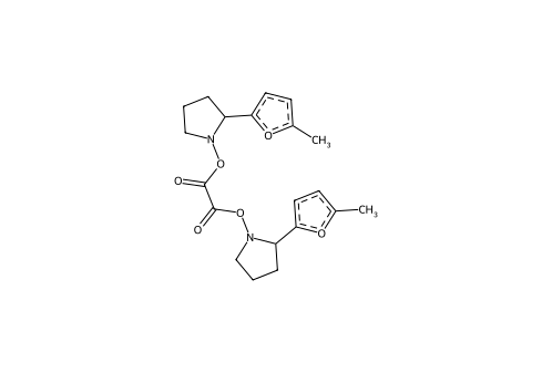 Cc1ccc(C2CCCN2OC(=O)C(=O)ON2CCCC2c2ccc(C)o2)o1